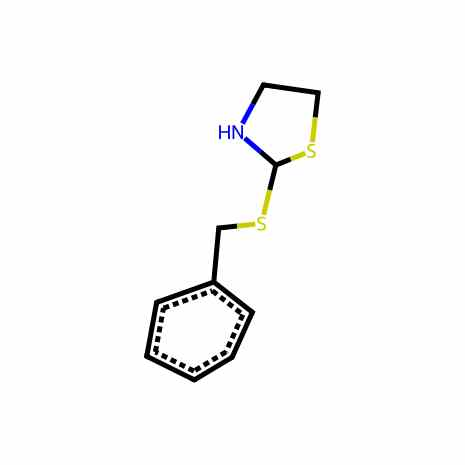 c1ccc(CSC2NCCS2)cc1